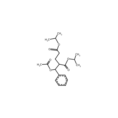 CC(=O)OC(c1ccccc1)C(CCC(=O)OC(C)C)C(=O)OC(C)C